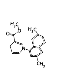 COC(=O)C1=CN(c2cc(C)cc3ccc(C)cc23)C=CC1